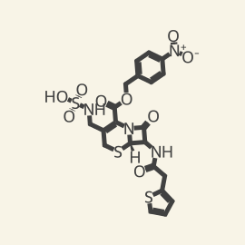 O=C(Cc1cccs1)NC1C(=O)N2C(C(=O)OCc3ccc([N+](=O)[O-])cc3)=C(CNS(=O)(=O)O)CS[C@@H]12